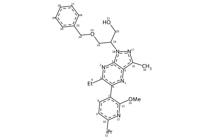 CCc1nc2c(nc1-c1ccc(C(C)C)nc1OC)c(C)nn2C(CO)COCc1ccccc1